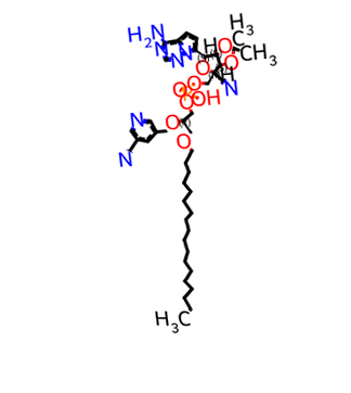 CCCCCCCCCCCCCCCCCCOC[C@H](COP(=O)(O)OC[C@@]1(C#N)O[C@@H](c2ccc3c(N)ncnn23)[C@@H]2OC(C)(C)O[C@@H]21)OCc1cncc(C#N)c1